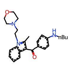 CCCCNc1ccc(C(=O)c2c(C)n(CCN3CCOCC3)c3ccccc23)cc1